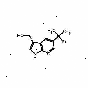 CCC(C)(C)c1cnc2[nH]cc(CO)c2c1